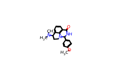 COc1ccc(C2NC(=O)c3cccc4c3N2CCC4N(C)C)cc1